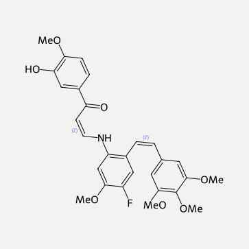 COc1ccc(C(=O)/C=C\Nc2cc(OC)c(F)cc2/C=C\c2cc(OC)c(OC)c(OC)c2)cc1O